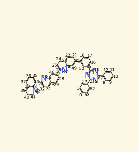 c1ccc(-c2nc(-c3ccccc3)nc(-c3cccc(-c4ccc5ccc(-c6ccc7ccc(-c8cccc9cccnc89)nc7c6)nc5c4)c3)n2)cc1